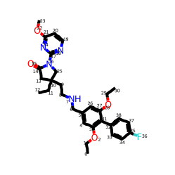 CCOc1cc(CNCCC2(CC)CC(=O)N(c3nccc(OC)n3)C2)cc(OCC)c1-c1ccc(F)cc1